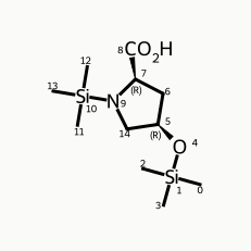 C[Si](C)(C)O[C@@H]1C[C@H](C(=O)O)N([Si](C)(C)C)C1